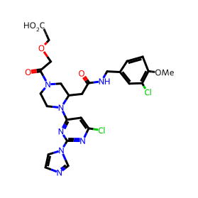 COc1ccc(CNC(=O)CC2CN(C(=O)COCC(=O)O)CCN2c2cc(Cl)nc(-n3ccnc3)n2)cc1Cl